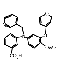 COc1ccc(N(Cc2cccnc2)c2cccc(C(=O)O)c2)cc1OC1=CCOC=C1